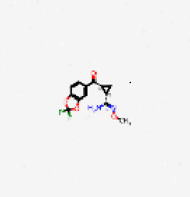 CO/N=C(\N)[C@H]1C[C@@H]1C(=O)c1ccc2c(c1)OC(F)(F)O2